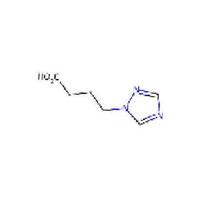 O=C(O)CCCn1cncn1